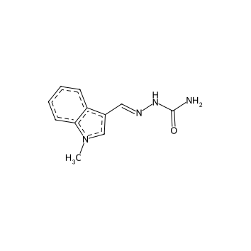 Cn1cc(/C=N/NC(N)=O)c2ccccc21